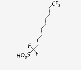 O=S(=O)(O)C(F)(F)CCCCCCCCC(F)(F)F